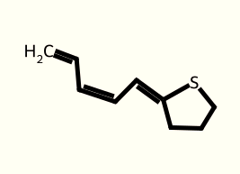 C=C/C=C\C=C1/CCCS1